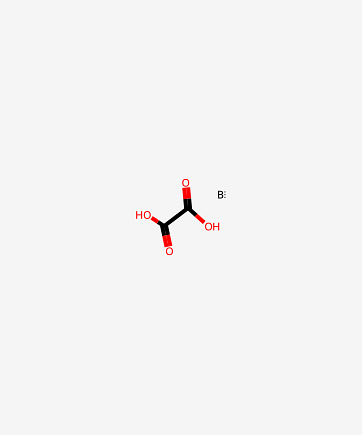 O=C(O)C(=O)O.[B]